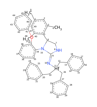 Cc1cc(C)c(C2CNC(=[N][Hf]([CH2]c3ccccc3)([CH2]c3ccccc3)[CH2]c3ccccc3)N2c2ccccc2Oc2ccccc2)c(C)c1